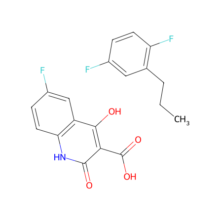 CCCc1cc(F)ccc1F.O=C(O)c1c(O)c2cc(F)ccc2[nH]c1=O